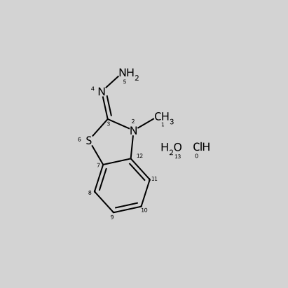 Cl.Cn1c(=NN)sc2ccccc21.O